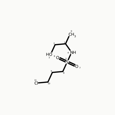 CC(CO)NS(=O)(=O)CCCCl